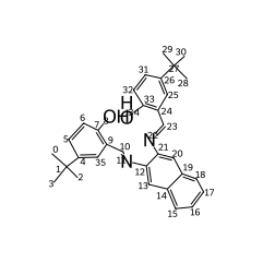 CC(C)(C)c1ccc(O)c(C=Nc2cc3ccccc3cc2N=Cc2cc(C(C)(C)C)ccc2O)c1